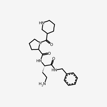 NCC[C@H](NC(=O)C1CCCN1C(=O)C1CCCNC1)C(=O)NCc1ccccc1